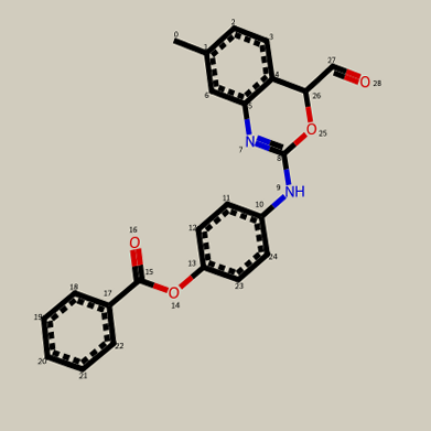 Cc1ccc2c(c1)N=C(Nc1ccc(OC(=O)c3ccccc3)cc1)OC2C=O